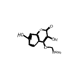 CCCCCCCCCCOc1c(O)c(=O)oc2cc(O)ccc12